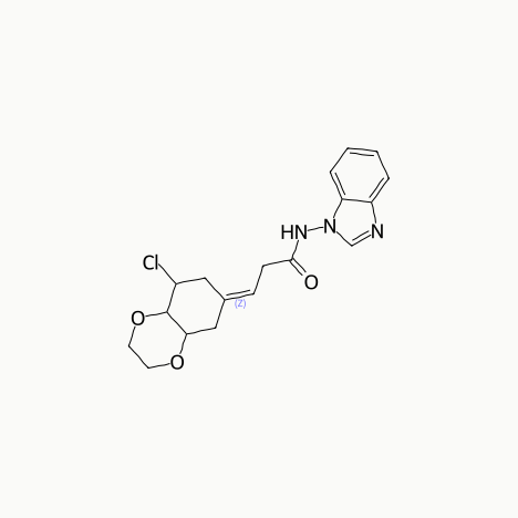 O=C(C/C=C1\CC(Cl)C2OCCOC2C1)Nn1cnc2ccccc21